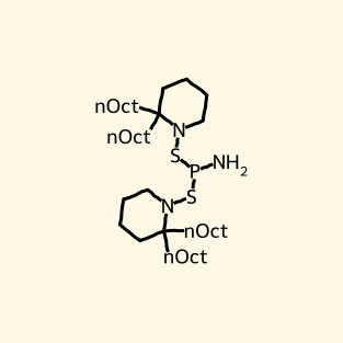 CCCCCCCCC1(CCCCCCCC)CCCCN1SP(N)SN1CCCCC1(CCCCCCCC)CCCCCCCC